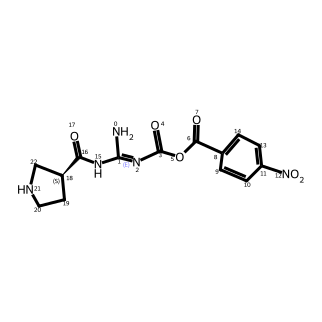 N/C(=N\C(=O)OC(=O)c1ccc([N+](=O)[O-])cc1)NC(=O)[C@H]1CCNC1